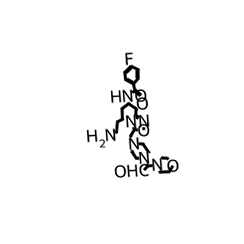 NCCCCC(NC(=O)c1ccc(F)cc1)C(=O)c1noc(CN2CCN(C(C=O)N3CCOCC3)CC2)n1